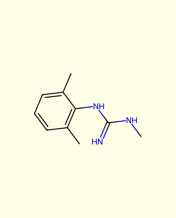 CNC(=N)Nc1c(C)cccc1C